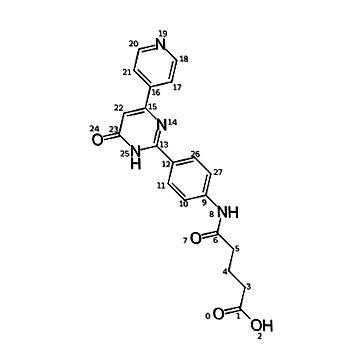 O=C(O)CCCC(=O)Nc1ccc(-c2nc(-c3ccncc3)cc(=O)[nH]2)cc1